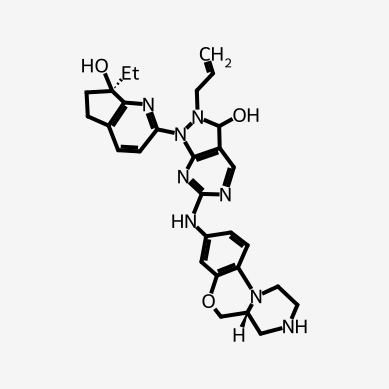 C=CCN1C(O)c2cnc(Nc3ccc4c(c3)OC[C@H]3CNCCN43)nc2N1c1ccc2c(n1)[C@@](O)(CC)CC2